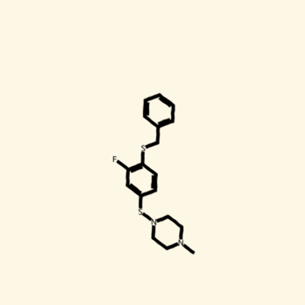 CN1CCN(Sc2ccc(SCc3ccccc3)c(F)c2)CC1